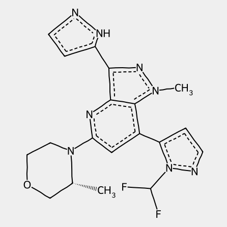 C[C@@H]1COCCN1c1cc(-c2ccnn2C(F)F)c2c(n1)c(-c1ccn[nH]1)nn2C